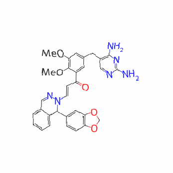 COc1cc(Cc2cnc(N)nc2N)cc(C(=O)/C=C/N2N=Cc3ccccc3C2c2ccc3c(c2)OCO3)c1OC